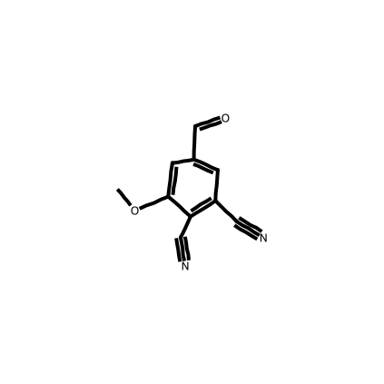 COc1cc(C=O)cc(C#N)c1C#N